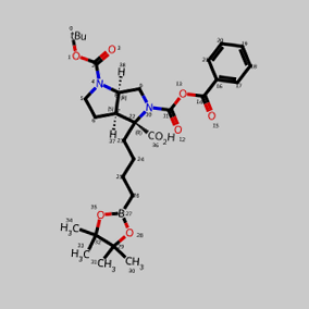 CC(C)(C)OC(=O)N1CC[C@H]2[C@@H]1CN(C(=O)OC(=O)c1ccccc1)[C@@]2(CCCCB1OC(C)(C)C(C)(C)O1)C(=O)O